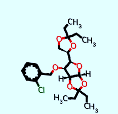 CCC1(CC)O[C@H]2O[C@H]([C@H]3COC(CC)(CC)O3)[C@H](OCc3ccccc3Cl)[C@H]2O1